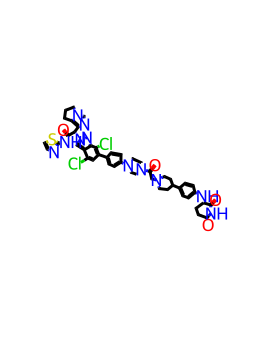 O=C1CCC(Nc2ccc(C3CCN(CC(=O)N4CCN(c5ccc(-c6cc(Cl)c7cn(C(C(=O)Nc8nccs8)c8ncn9c8CCC9)nc7c6Cl)cc5)CC4)CC3)cc2)C(=O)N1